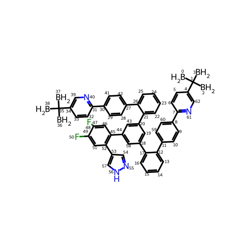 BC(B)(B)c1ccc(-c2ccc(-c3ccccc3-c3cc(-c4ccccc4-c4ccc(-c5ccc(C(B)(B)B)cn5)cc4)cc(-c4cc(F)c(F)cc4-c4cn[nH]c4)c3)cc2)nc1